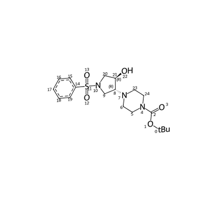 CC(C)(C)OC(=O)N1CCN([C@@H]2CN(S(=O)(=O)c3ccccc3)C[C@H]2O)CC1